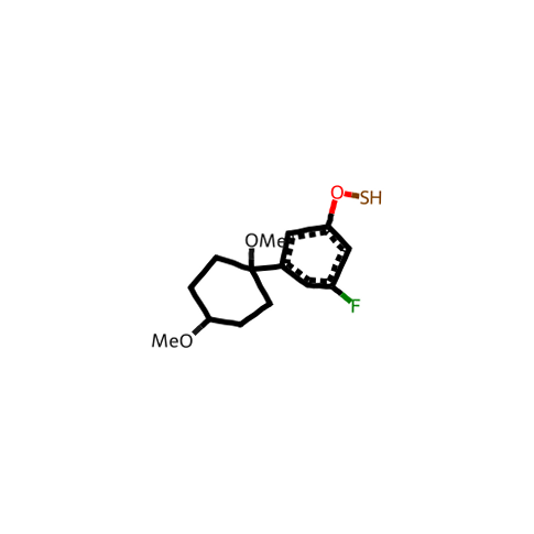 COC1CCC(OC)(c2cc(F)cc(OS)c2)CC1